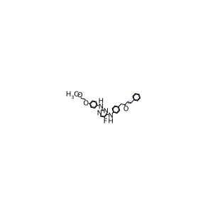 COCCOc1ccc(Nc2ncc(F)c(Nc3ccc(CC(=O)/C=C/c4ccccc4)cc3)n2)cc1